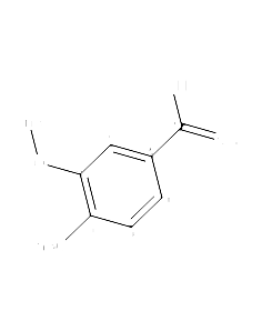 CCCCOc1cc(C(=O)S)ccc1CCCC